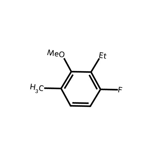 CCc1c(F)ccc(C)c1OC